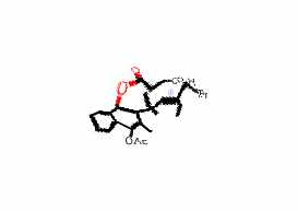 CC(=O)Oc1c(C)c(C(C)(C)/C=C(\C)CC(C)C)c(OC(=O)CCC(=O)O)c2ccccc12